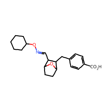 O=C(O)c1ccc(CC2C3CCC(O3)C2/C=N/OC2CCCCC2)cc1